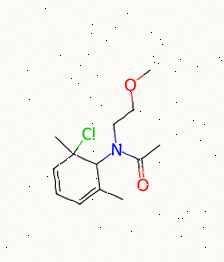 COCCN(C(C)=O)C1C(C)=CC=CC1(C)Cl